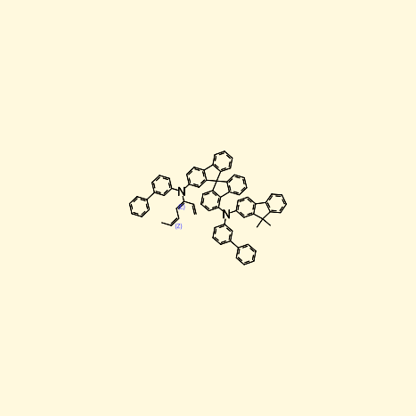 C=C/C(=C\C=C/C)N(c1cccc(-c2ccccc2)c1)c1ccc2c(c1)C1(c3ccccc3-2)c2ccccc2-c2c(N(c3cccc(-c4ccccc4)c3)c3ccc4c(c3)C(C)(C)c3ccccc3-4)cccc21